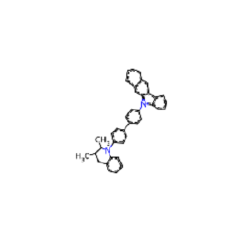 CC1Cc2ccccc2N(c2ccc(-c3ccc(-n4c5ccccc5c5cc6ccccc6cc54)cc3)cc2)C1C